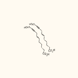 CCCCCCCCC#CCC=CCCCCC(=O)O.CCCCCCCCC#CCC=CCCCCC(=O)O